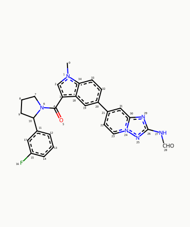 Cn1cc(C(=O)N2CCCC2c2cccc(F)c2)c2cc(-c3ccn4nc(NC=O)nc4c3)ccc21